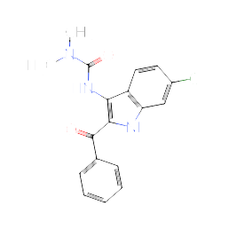 CN(C)C(=O)Nc1c(C(=O)c2ccccc2)[nH]c2cc(Cl)ccc12